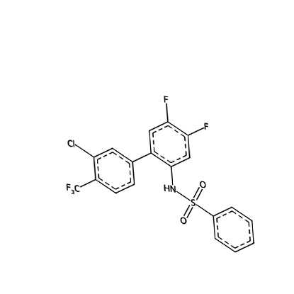 O=S(=O)(Nc1cc(F)c(F)cc1-c1ccc(C(F)(F)F)c(Cl)c1)c1ccccc1